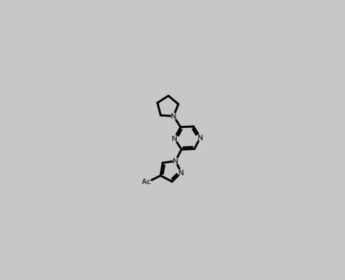 CC(=O)c1cnn(-c2cncc(N3CCCC3)n2)c1